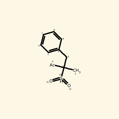 CC(=O)C(C)(Cc1ccccc1)[SH](=O)=O